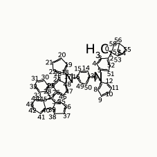 CC1(c2ccc(N(c3ccccc3)c3ccc(-n4c5ccccc5c5cc(C6(c7ccccc7)c7ccccc7-c7ccccc76)ccc54)cc3)cc2)C=C2CC(C2)C1